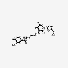 Cc1cn([C@H]2CC[C@@H](CO)O2)c(=O)n(CCNCCNC(=O)c2ccc(F)c(C#N)c2)c1=O